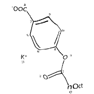 CCCCCCCCC(=O)Oc1ccc(C(=O)[O-])cc1.[K+]